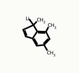 [Li][C]1(C)C=Cc2cc(C)cc(C)c21